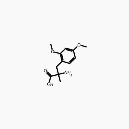 COc1ccc(CC(C)(N)C(=O)O)c(OC)c1